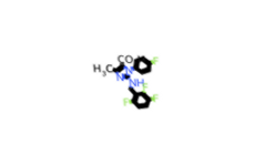 Cc1nc(NCc2c(F)ccc(F)c2F)n(-c2ccc(F)cc2)c1C(=O)O